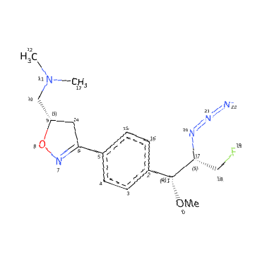 CO[C@H](c1ccc(C2=NO[C@H](CN(C)C)C2)cc1)[C@@H](CF)N=[N+]=[N-]